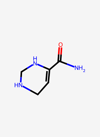 NC(=O)C1=CCNCN1